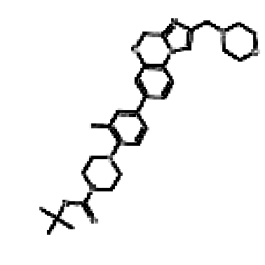 Cc1cc(-c2ccc3c(c2)OCc2nc(CN4CCOCC4)cn2-3)ccc1N1CCN(C(=O)OC(C)(C)C)CC1